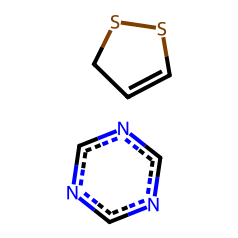 C1=CSSC1.c1ncncn1